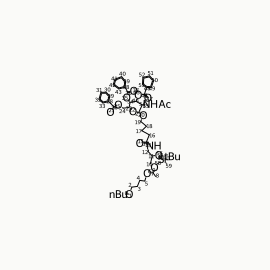 CCCCOCCCCOC(C)OCC(CNC(=O)CCCCOC1OC(COC(=O)c2ccccc2)C(OC(=O)c2ccccc2)C(OC(=O)c2ccccc2)C1NC(C)=O)O[Si](C)(C)C(C)(C)C